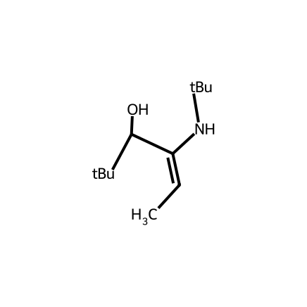 CC=C(NC(C)(C)C)C(O)C(C)(C)C